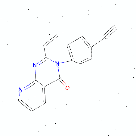 C#Cc1ccc(-n2c(C=C)nc3ncccc3c2=O)cc1